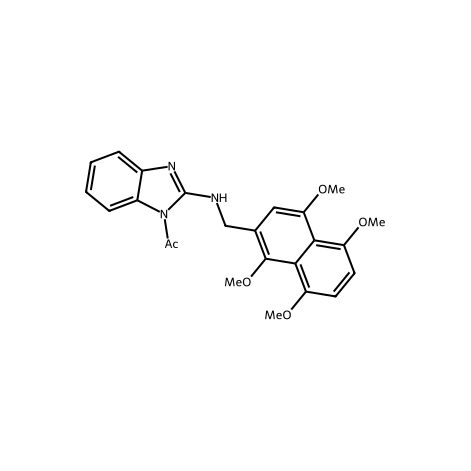 COc1ccc(OC)c2c(OC)c(CNc3nc4ccccc4n3C(C)=O)cc(OC)c12